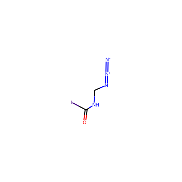 [N-]=[N+]=NCNC(=O)I